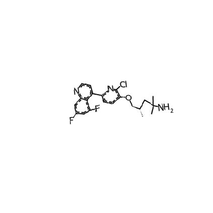 C[C@H](COc1ccc(-c2ccnc3cc(F)cc(F)c23)nc1Cl)CC(C)(C)N